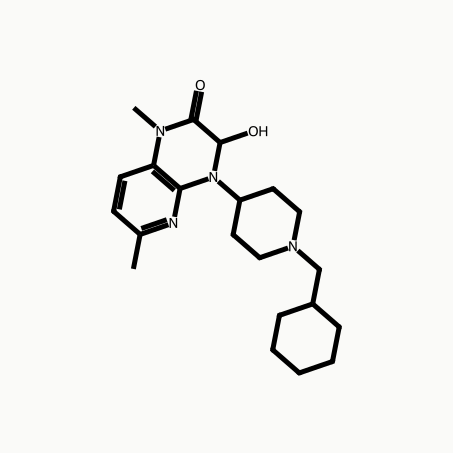 Cc1ccc2c(n1)N(C1CCN(CC3CCCCC3)CC1)C(O)C(=O)N2C